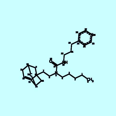 CCCCCN(CCC12CC3CC=C1C(C3)C2)C(=O)NCCCc1ccncc1